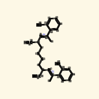 C/C(=N\C(CSSCC(/N=C(\C)c1ccccc1O)C(=O)O)C(=O)O)c1ccccc1O